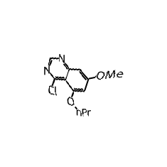 CCCOc1cc(OC)cc2ncnc(Cl)c12